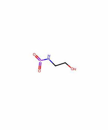 O=I(=O)NCCO